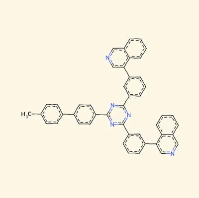 Cc1ccc(-c2ccc(-c3nc(-c4cccc(-c5cncc6ccccc56)c4)nc(-c4cccc(-c5cncc6ccccc56)c4)n3)cc2)cc1